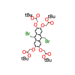 CC(C)(C)OC(=O)COc1cc2c(CBr)c3cc(OCC(=O)OC(C)(C)C)c(OCC(=O)OC(C)(C)C)cc3c(CBr)c2cc1OCC(=O)OC(C)(C)C